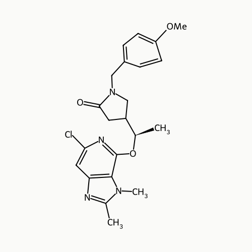 COc1ccc(CN2CC([C@@H](C)Oc3nc(Cl)cc4nc(C)n(C)c34)CC2=O)cc1